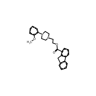 COc1ccccc1N1CCN(CCOC(=O)c2cccc3c2Cc2ccccc2-3)CC1